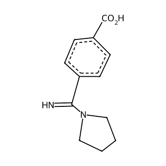 N=C(c1ccc(C(=O)O)cc1)N1CCCC1